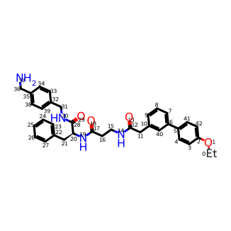 CCOc1ccc(-c2cccc(CC(=O)NCCC(=O)N[C@@H](Cc3ccccc3)C(=O)NCc3ccc(CN)cc3)c2)cc1